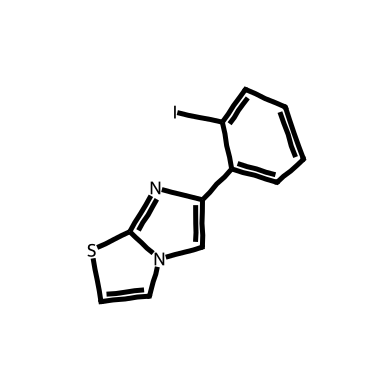 Ic1ccccc1-c1cn2ccsc2n1